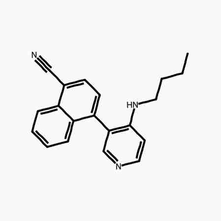 CCCCNc1ccncc1-c1ccc(C#N)c2ccccc12